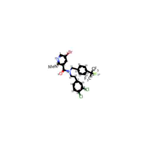 CNc1ncc(Br)cc1C(=O)N(CCc1ccc(Cl)c(Cl)c1)Cc1ccc(C(F)(C(F)(F)F)C(F)(F)F)cc1